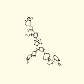 CCc1ccccc1[C@@H]1CCCN1[C@@H]1CC=C(c2ccc(C(=O)NS(=O)(=O)c3ccc(NCC4CCC(C)(O)CC4)c([N+](=O)[O-])c3)c(Oc3cnc4[nH]ccc4c3)c2)CC1